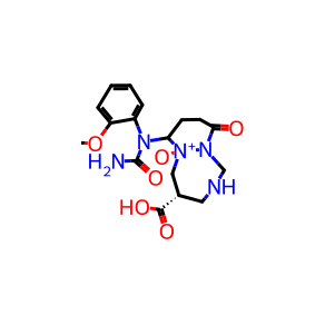 COc1ccccc1N(C(N)=O)C1CCC(=O)N2CNC[C@H](C(=O)O)C[N+]12[O-]